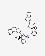 C=Cc1oc2cccc(C/N=C(\N=C(/N)c3ccc4ccc5ccccc5c4c3)c3ccccc3)c2c1/C=C\Cc1ccc2ccccc2c1